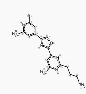 CCc1cc(-c2noc(-c3cc(C)nc(CCCN)n3)n2)cc(C)n1